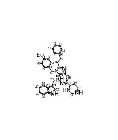 CCc1ccc(Cn2c(CCc3ccccc3)nnc2[C@@H](Cc2c[nH]c3ccccc23)NC(=O)C2CCNCN2)cc1